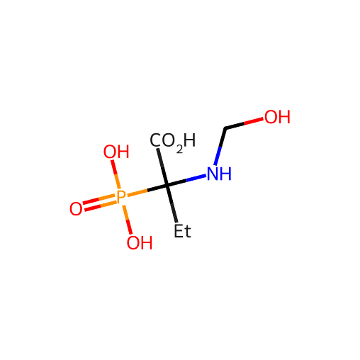 CCC(NCO)(C(=O)O)P(=O)(O)O